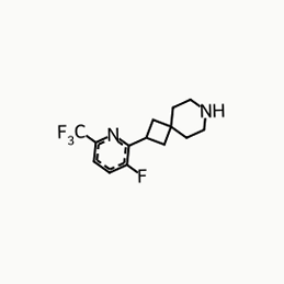 Fc1ccc(C(F)(F)F)nc1C1CC2(CCNCC2)C1